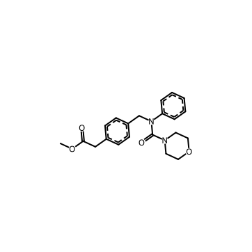 COC(=O)Cc1ccc(CN(C(=O)N2CCOCC2)c2ccccc2)cc1